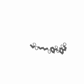 C=CC(=O)OCCCCCOc1ccc(C(=O)Oc2ccc3ccc(=O)oc3c2)cc1